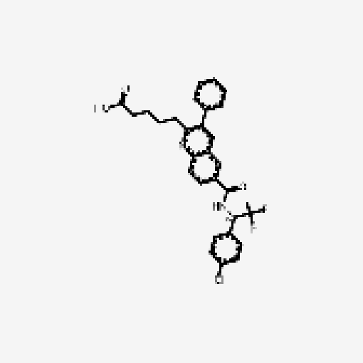 O=C(O)CCCCc1nc2ccc(C(=O)N[C@@H](c3ccc(Cl)cc3)C(F)(F)F)cc2cc1-c1ccccc1